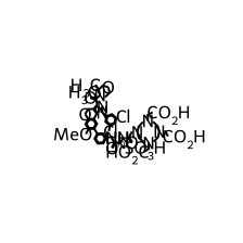 COc1cc2c(cc1-c1cccc(NC(=O)[C@H](CS(=O)(=O)O)NC(=O)CN3CCN(CC(=O)O)CCN(CC(=O)O)CCN(CC(=O)O)CC3)c1)-c1c(c(C(=O)N3CCOCC3(C)C)nn1-c1cc(Cl)cc(Cl)c1)CO2